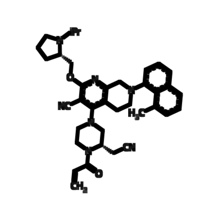 C=CC(=O)N1CCN(c2c(C#N)c(OC[C@@H]3CCCN3C(C)C)nc3c2CCN(c2cccc4cccc(C)c24)C3)C[C@@H]1CC#N